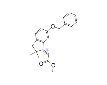 COC(=O)/C=C1/c2cc(OCc3ccccc3)ccc2CC1(C)C